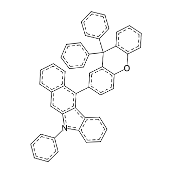 c1ccc(-n2c3ccccc3c3c(-c4ccc5c(c4)C(c4ccccc4)(c4ccccc4)c4ccccc4O5)c4ccccc4cc32)cc1